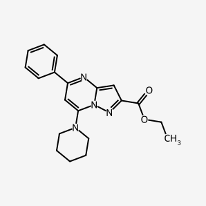 CCOC(=O)c1cc2nc(-c3ccccc3)cc(N3CCCCC3)n2n1